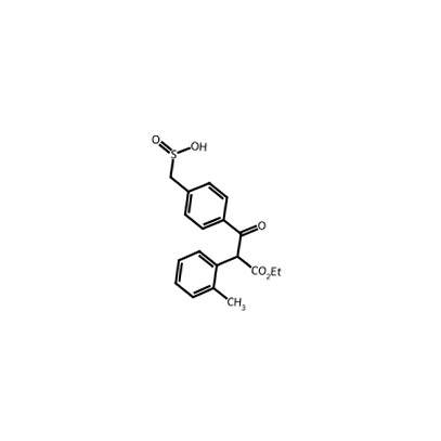 CCOC(=O)C(C(=O)c1ccc(CS(=O)O)cc1)c1ccccc1C